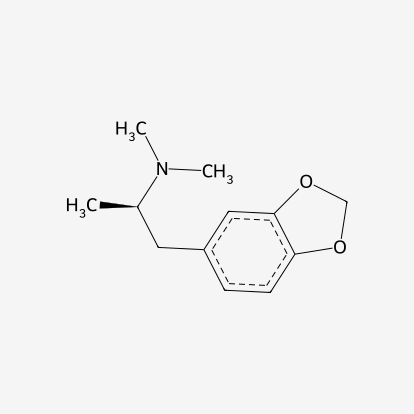 C[C@H](Cc1ccc2c(c1)OCO2)N(C)C